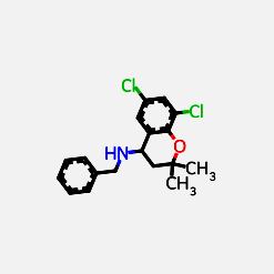 CC1(C)CC(NCc2ccccc2)c2cc(Cl)cc(Cl)c2O1